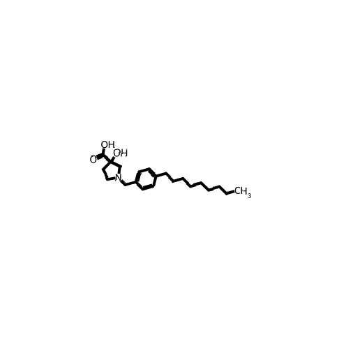 CCCCCCCCCc1ccc(CN2CCC(O)(C(=O)O)C2)cc1